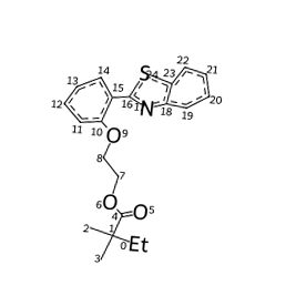 CCC(C)(C)C(=O)OCCOc1ccccc1-c1nc2ccccc2s1